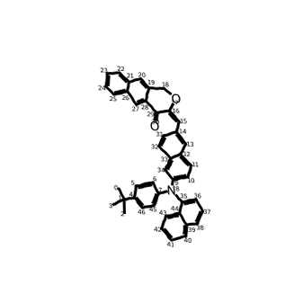 CC(C)(C)c1ccc(N(c2ccc3cc(C=C4OCc5cc6ccccc6cc5C4=O)ccc3c2)c2cccc3ccccc23)cc1